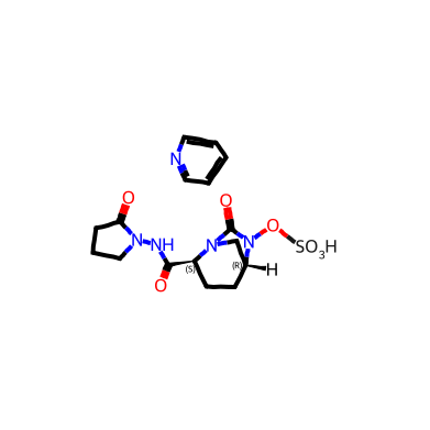 O=C(NN1CCCC1=O)[C@@H]1CC[C@@H]2CN1C(=O)N2OS(=O)(=O)O.c1ccncc1